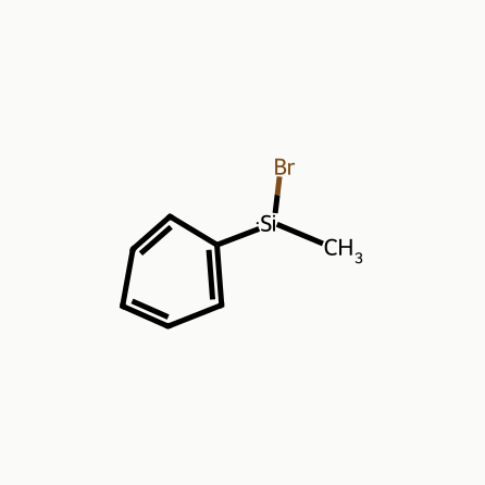 C[Si](Br)c1ccccc1